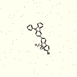 C[Si]1(C)c2cc(Br)ccc2-c2ccc(-c3ccc4c(c3)c3ccccc3n4-c3ccccc3)cc21